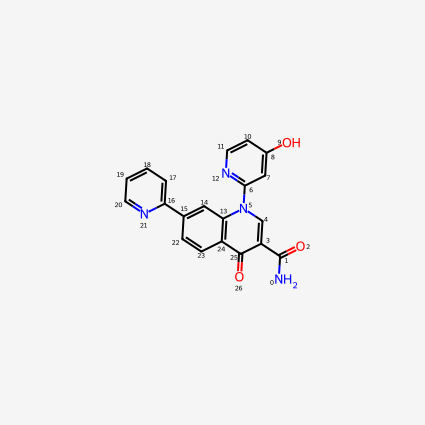 NC(=O)c1cn(-c2cc(O)ccn2)c2cc(-c3ccccn3)ccc2c1=O